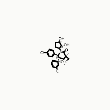 C[C@]1(CC(=O)O)C[C@H](c2cccc(Cl)c2)[C@@H](c2ccc(Cl)cc2)N(C2CC[C@H](O)[C@@H]2O)C1=O